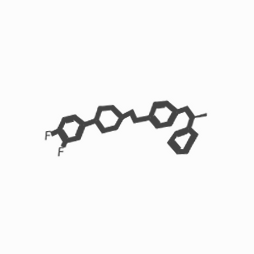 C[C@H](Cc1ccc(CCC2CCC(c3ccc(F)c(F)c3)CC2)cc1)c1ccccc1